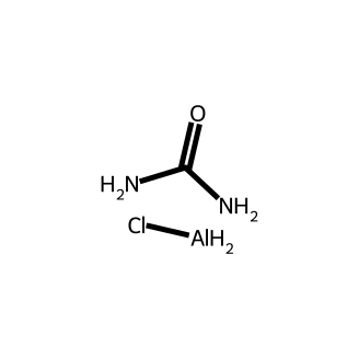 NC(N)=O.[AlH2][Cl]